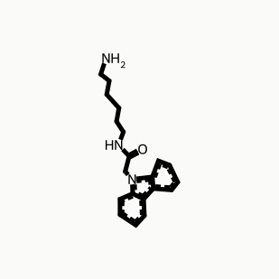 NCCCCCCNC(=O)Cn1c2ccccc2c2ccccc21